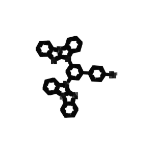 Brc1ccc(-c2cc(-n3c4ccccc4n4c5ccccc5nc34)cc(-n3c4ccccc4n4c5ccccc5nc34)c2)cc1